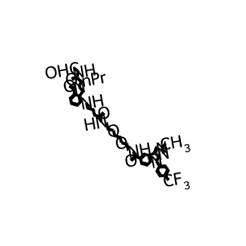 CCCC(C(=O)NC=O)N1Cc2c(NCCCC(=O)NCCOCCOCCNC(=O)c3ccc4c(c3)c3cn(C)nc3n4-c3ccc(C(F)(F)F)cc3)cccc2C1=O